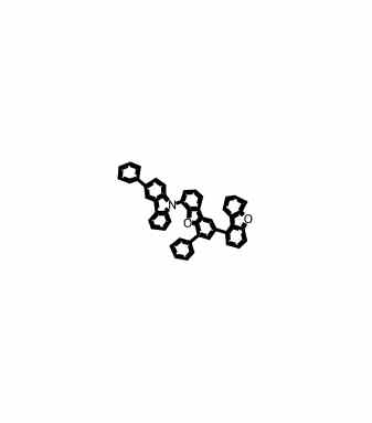 c1ccc(-c2ccc3c(c2)c2ccccc2n3-c2cccc3c2oc2c(-c4ccccc4)cc(-c4cccc5oc6ccccc6c45)cc23)cc1